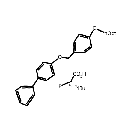 CCC(C)[C@H](F)C(=O)O.CCCCCCCCOc1ccc(COc2ccc(-c3ccccc3)cc2)cc1